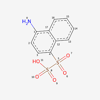 Nc1ccc(S(=O)(=O)S(=O)(=O)O)c2ccccc12